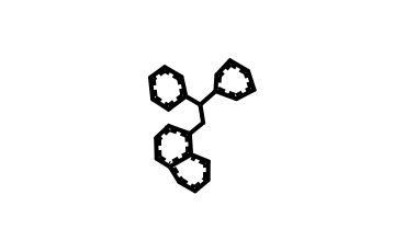 [c]1ccc2ccccc2c1CC(c1ccccc1)c1ccccc1